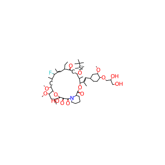 CCC1/C=C(\C)C(F)C(C)CC(OC)C2OC(O)(C(=O)C(=O)N3CCCCC3C(=O)OC(C(C)=CC3CCC(OCC(O)CO)C(OC)C3)C(C)C(O[Si](C)(C)C(C)(C)C)CC1=O)C(C)CC2OC